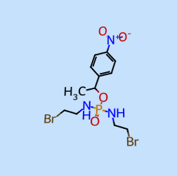 CC(OP(=O)(NCCBr)NCCBr)c1ccc([N+](=O)[O-])cc1